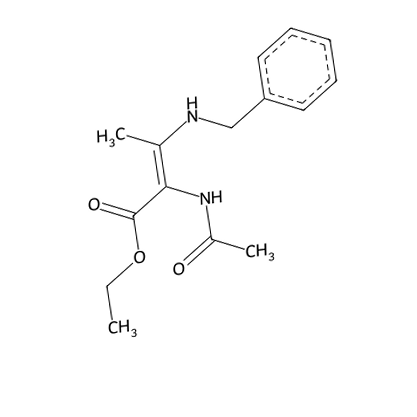 CCOC(=O)C(NC(C)=O)=C(C)NCc1ccccc1